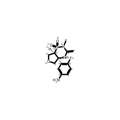 C=C1N[C@@]2(c3cc(N)ccc3F)COC[C@H]2S(=O)(=O)N1C